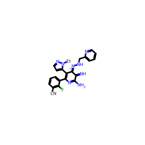 CCn1nccc1C1=C(c2cccc(C#N)c2F)N=C(N)C(=N)/C1=N\NCc1ccccn1